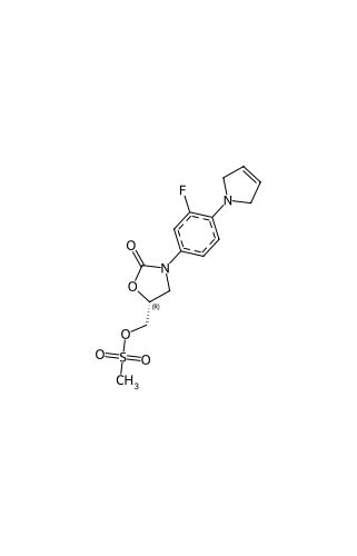 CS(=O)(=O)OC[C@H]1CN(c2ccc(N3CC=CC3)c(F)c2)C(=O)O1